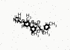 Cc1ccc(N(C)C(=O)Cn2c(=O)n(C)c3c(-c4cc(C)c(OCc5nnc[nH]5)c(F)c4)cc(C)cc32)cc1